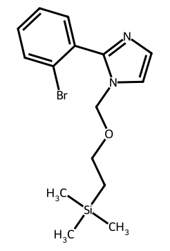 C[Si](C)(C)CCOCn1ccnc1-c1ccccc1Br